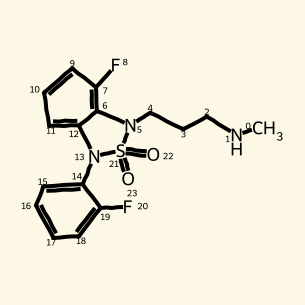 CNCCCN1c2c(F)cccc2N(c2ccccc2F)S1(=O)=O